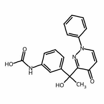 CC(O)(c1cccc(NC(=O)O)c1)c1nn(-c2ccccc2)ccc1=O